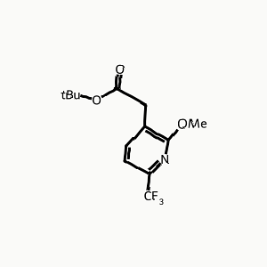 COc1nc(C(F)(F)F)ccc1CC(=O)OC(C)(C)C